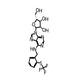 OC[C@H]1OC(n2cnc3c(NCc4ccccc4SC(F)(F)F)ncnc32)[C@H](O)[C@@H]1O